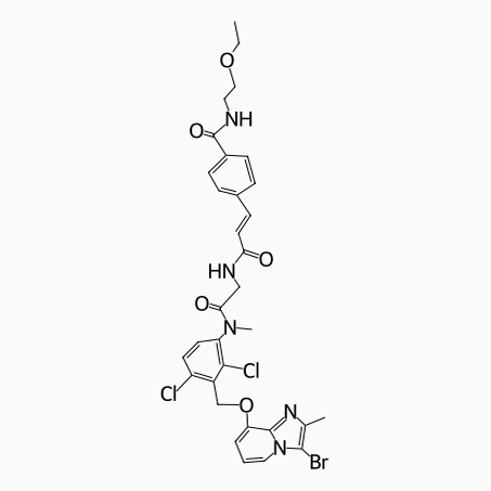 CCOCCNC(=O)c1ccc(C=CC(=O)NCC(=O)N(C)c2ccc(Cl)c(COc3cccn4c(Br)c(C)nc34)c2Cl)cc1